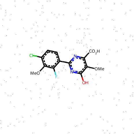 COc1c(O)nc(-c2ccc(Cl)c(OC)c2F)nc1C(=O)O